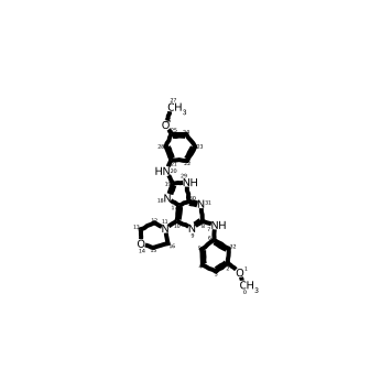 COc1cccc(Nc2nc(N3CCOCC3)c3nc(Nc4cccc(OC)c4)[nH]c3n2)c1